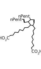 CCCCCC=CC1C(CCCCC)C=CC(CCCCCCCCC(=O)O)C1CCCCCCCCC(=O)O